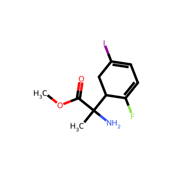 COC(=O)C(C)(N)C1CC(I)=CC=C1F